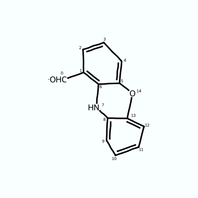 O=[C]c1cccc2c1Nc1ccccc1O2